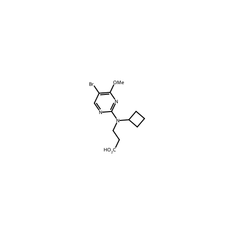 COc1nc(N(CCC(=O)O)C2CCC2)ncc1Br